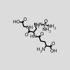 NC(CCC(=O)NC(CS)C(=O)NCC(=O)O)C(=O)O.NP(N)(N)=O